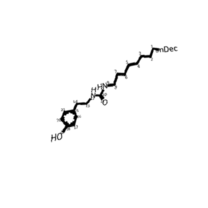 CCCCCCCCCCCCCCCCCCNC(=O)NCCc1ccc(O)cc1